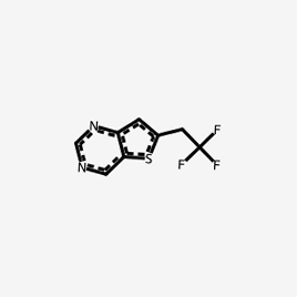 FC(F)(F)Cc1cc2ncncc2s1